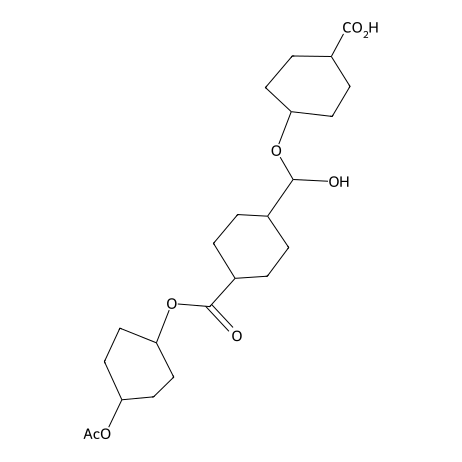 CC(=O)OC1CCC(OC(=O)C2CCC(C(O)OC3CCC(C(=O)O)CC3)CC2)CC1